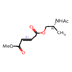 COC(=O)/C=C/C(=O)OC[C@@H](C)NC(C)=O